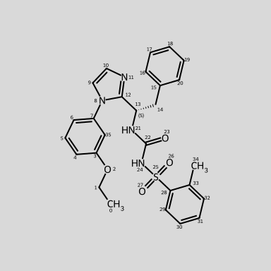 CCOc1cccc(-n2ccnc2[C@H](Cc2ccccc2)NC(=O)NS(=O)(=O)c2ccccc2C)c1